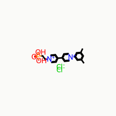 Cc1cc(C)cc(-[n+]2ccc(-c3cc[n+](CCP(=O)(O)O)cc3)cc2)c1.[Cl-].[Cl-]